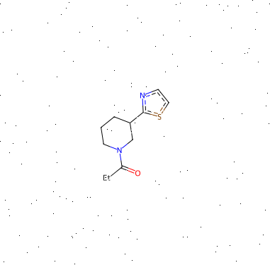 CCC(=O)N1CCCC(c2nccs2)C1